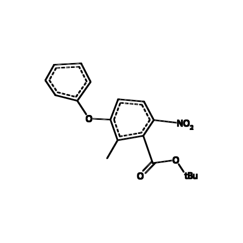 Cc1c(Oc2ccccc2)ccc([N+](=O)[O-])c1C(=O)OC(C)(C)C